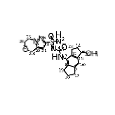 NS(=O)(=NC(=O)Nc1c2c(cc3c1CCC3O)CCC2)c1cc2n(n1)CCOC2